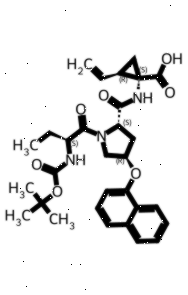 C=C[C@H]1C[C@@]1(NC(=O)[C@@H]1C[C@@H](Oc2cccc3ccccc23)CN1C(=O)[C@H](CC)NC(=O)OC(C)(C)C)C(=O)O